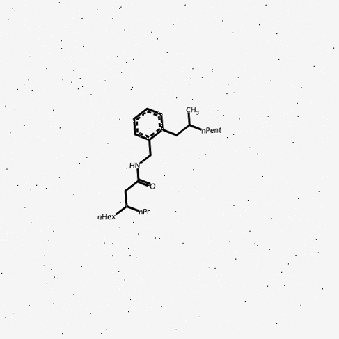 CCCCCCC(CCC)CC(=O)NCc1ccccc1CC(C)CCCCC